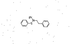 CC(C)N(CCc1ccccc1)Sc1ccccc1